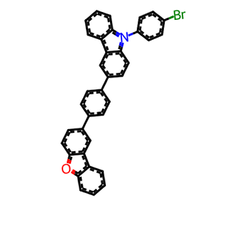 Brc1ccc(-n2c3ccccc3c3cc(-c4ccc(-c5ccc6oc7ccccc7c6c5)cc4)ccc32)cc1